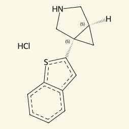 Cl.c1ccc2sc([C@]34CNC[C@H]3C4)cc2c1